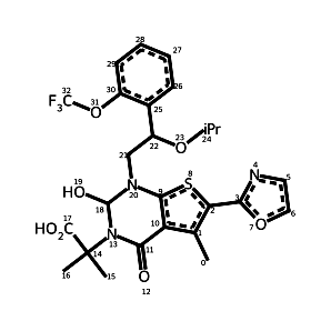 Cc1c(-c2ncco2)sc2c1C(=O)N(C(C)(C)C(=O)O)C(O)N2CC(OC(C)C)c1ccccc1OC(F)(F)F